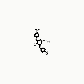 CN(C)c1ccc(C=C2CC(CO)CC(=Cc3ccc(N(C)C)cc3)C2=O)cc1